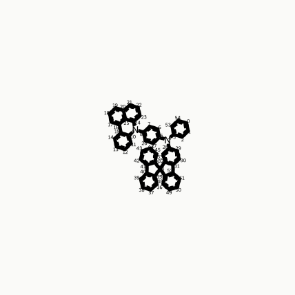 c1ccc(N(c2ccc(N3c4ccccc4-c4cccc5cccc3c45)cc2)c2ccc3c(c2)C2(c4ccccc4-c4ccccc42)c2ccccc2-3)cc1